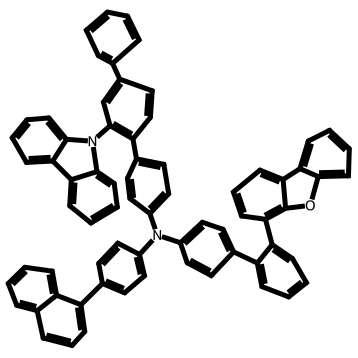 c1ccc(-c2ccc(-c3ccc(N(c4ccc(-c5ccccc5-c5cccc6c5oc5ccccc56)cc4)c4ccc(-c5cccc6ccccc56)cc4)cc3)c(-n3c4ccccc4c4ccccc43)c2)cc1